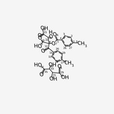 Cc1ccc(C(=O)OC(C(=O)O)(C(=O)c2ccc(C)cc2)C(O)C(=O)O)cc1.O=C(O)C(O)C(O)C(=O)O